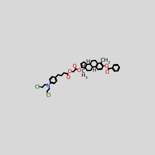 Cc1c(OC(=O)c2ccccc2)ccc2c1CC[C@@H]1[C@@H]2CC[C@]2(C)[C@@H](OC(=O)COC(=O)CCCc3ccc(N(CCCl)CCCl)cc3)CC[C@@H]12